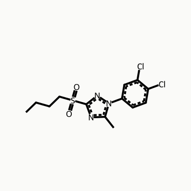 CCCCS(=O)(=O)c1nc(C)n(-c2ccc(Cl)c(Cl)c2)n1